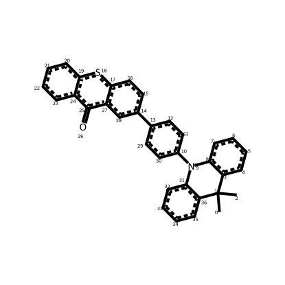 CC1(C)c2ccccc2N(c2ccc(-c3ccc4sc5ccccc5c(=O)c4c3)cc2)c2ccccc21